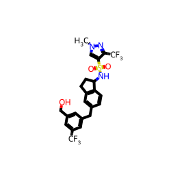 Cn1cc(S(=O)(=O)NC2CCc3cc(Cc4cc(CO)cc(C(F)(F)F)c4)ccc32)c(C(F)(F)F)n1